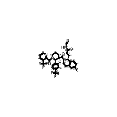 CCC[C@H]1N(C(=O)c2ncccc2C(F)(F)F)CCC[C@@]1(Oc1csc(C(F)(F)F)c1)C(=O)N1CCc2cc(Cl)ccc2[C@@H]1CCC(=O)NC#N